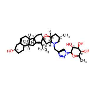 CC1=C2C[C@H]3[C@@H](CC=C4C[C@@H](O)CC[C@@]43C)[C@@H]2CC[C@]12O[C@@H]1C[C@H](C)CN(Cc3cn(C4OC(C)[C@H](O)C(O)[C@@H]4O)nn3)[C@H]1[C@H]2C